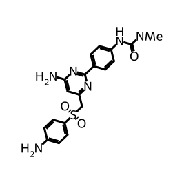 CNC(=O)Nc1ccc(-c2nc(N)cc(CS(=O)(=O)c3ccc(N)cc3)n2)cc1